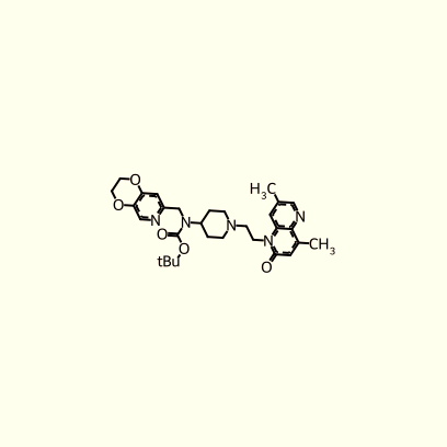 Cc1cnc2c(C)cc(=O)n(CCN3CCC(N(Cc4cc5c(cn4)OCCO5)C(=O)OC(C)(C)C)CC3)c2c1